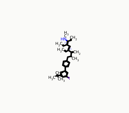 C=C/C(=C\C(C=C)=C(/C=C)NC)C(=C)C(C)Cc1ccc(-c2cc(I)cc(C(C)(C)C)c2)cc1